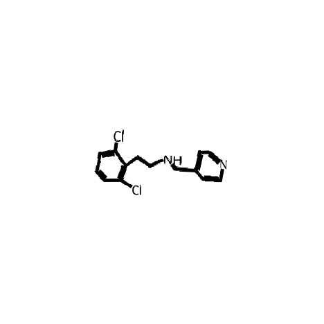 Clc1cccc(Cl)c1CCNCc1ccncc1